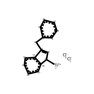 [Cl-].[Cl-].[Ti+2][CH]1C=C(Cc2ccccc2)c2ccccc21